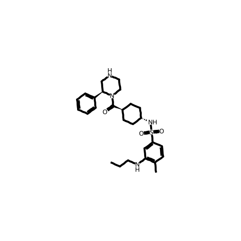 CCCNc1cc(S(=O)(=O)N[C@H]2CC[C@H](C(=O)N3CCNC[C@@H]3c3ccccc3)CC2)ccc1C